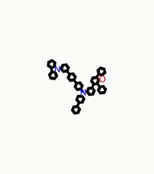 c1ccc(-c2ccc(N(c3ccc(-c4ccc(-c5cccc(-n6c7ccccc7c7ccccc76)c5)cc4)cc3)c3cccc(-c4ccc5c(oc6ccccc65)c4-c4ccccc4)c3)cc2)cc1